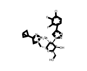 CO[C@@H]1[C@@H](n2cc(-c3ccc(Cl)c(F)c3F)nn2)[C@@H](O)[C@@H](CO)O[C@@H]1Cn1cc(C23CC(C2)C3)nn1